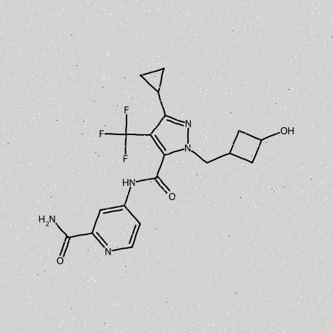 NC(=O)c1cc(NC(=O)c2c(C(F)(F)F)c(C3CC3)nn2CC2CC(O)C2)ccn1